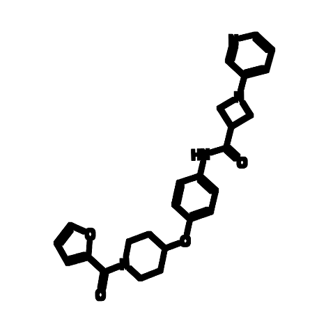 O=C(Nc1ccc(OC2CCN(C(=O)c3ccco3)CC2)cc1)C1CN(c2cccnc2)C1